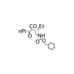 CCCC(=O)C(CCNC(=O)OCc1ccccc1)C(=O)OCC